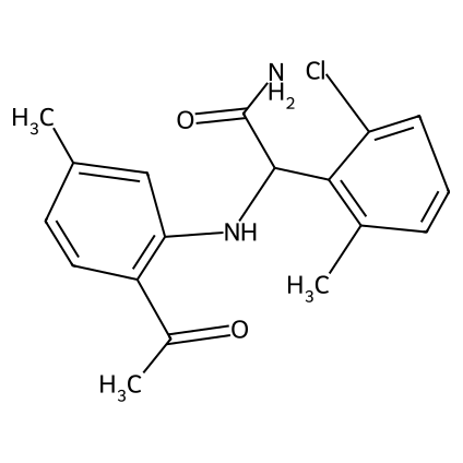 CC(=O)c1ccc(C)cc1NC(C(N)=O)c1c(C)cccc1Cl